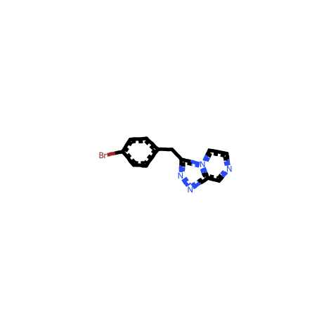 Brc1ccc(Cc2nnc3cnccn23)cc1